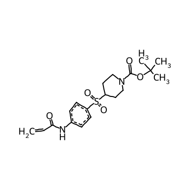 C=CC(=O)Nc1ccc(S(=O)(=O)C2CCN(C(=O)OC(C)(C)C)CC2)cc1